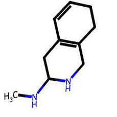 CNC1CC2=C(CCC=C2)CN1